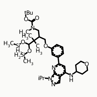 C[SiH2]OC(O[SiH2]C)C(C)(C)C(COc1cccc(-c2cc(NC3CCOCC3)c3cnn(C(C)C)c3n2)c1)CN(C)C(=O)OC(C)(C)C